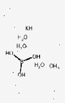 O.O.O.O.OB(O)O.[KH]